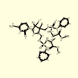 CC(C)OC(=O)[C@H](C)NP(=O)(OC[C@H]1O[C@H](n2ccc(N)nc2=O)C(F)(F)C1(C)COP(=O)(N[C@@H](C)C(=O)OC(C)C)Oc1ccccc1)Oc1ccccc1